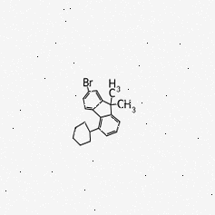 CC1(C)c2cc(Br)ccc2-c2c(C3CCCCC3)cccc21